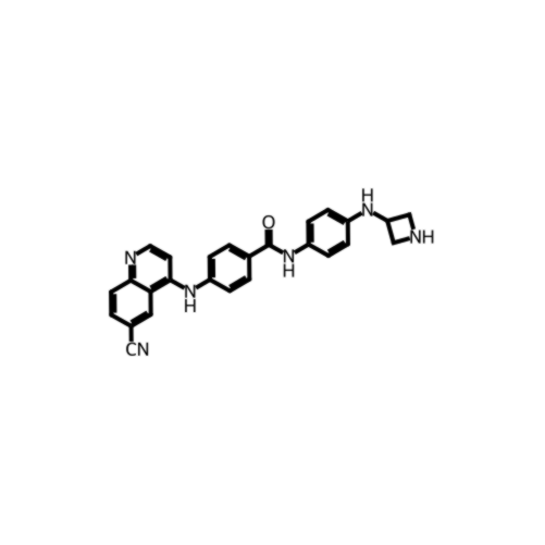 N#Cc1ccc2nccc(Nc3ccc(C(=O)Nc4ccc(NC5CNC5)cc4)cc3)c2c1